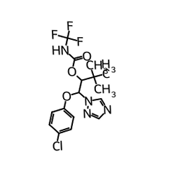 CC(C)(C)C(OC(=O)NC(F)(F)F)C(Oc1ccc(Cl)cc1)n1cncn1